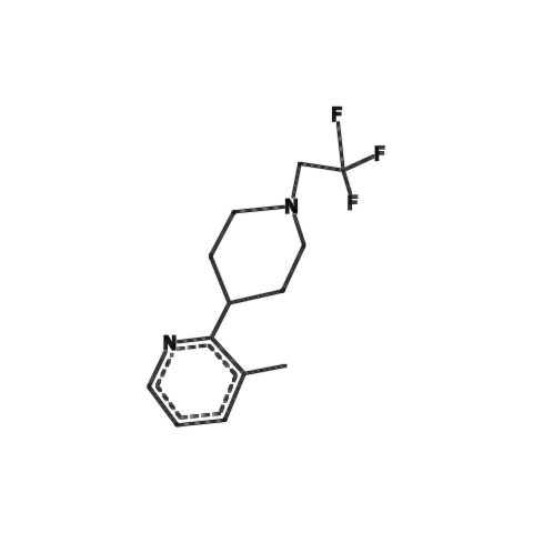 Cc1cccnc1C1CCN(CC(F)(F)F)CC1